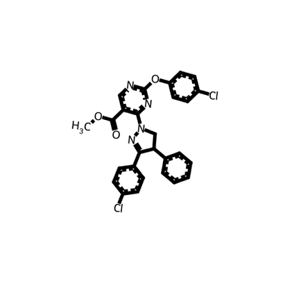 COC(=O)c1cnc(Oc2ccc(Cl)cc2)nc1N1CC(c2ccccc2)C(c2ccc(Cl)cc2)=N1